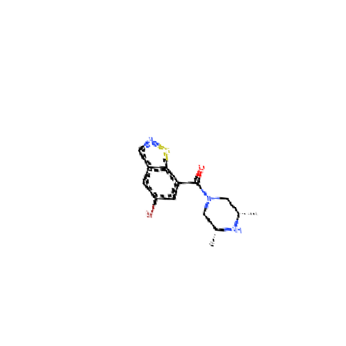 C[C@@H]1CN(C(=O)c2cc(Br)cc3cnsc23)C[C@H](C)N1